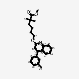 COC(=O)C(C)(C)CCCCOc1cc(-c2cccc(C)c2)c2ccccc2n1